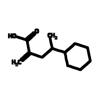 C=C(CC(C)C1CCCCC1)C(=O)O